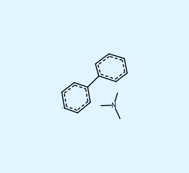 CN(C)C.[c]1ccc(-c2ccccc2)cc1